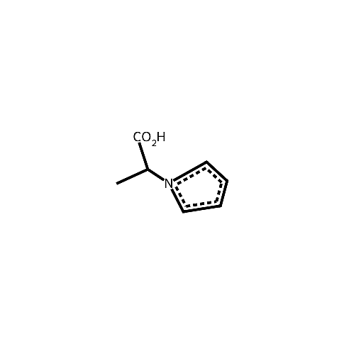 CC(C(=O)O)n1cccc1